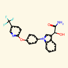 NC(=O)C(O)c1cn(-c2ccc(Oc3ccc(C(F)(F)F)cn3)cc2)c2ccccc12